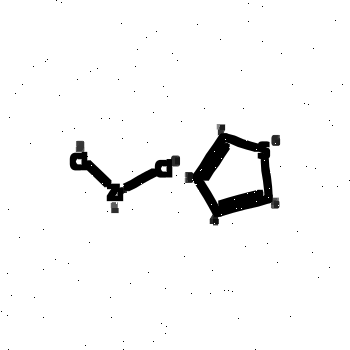 [Cl][Zr][Cl].c1ccsc1